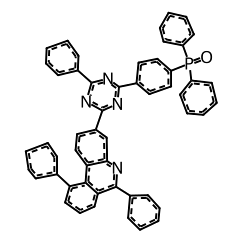 O=P(c1ccccc1)(c1ccccc1)c1ccc(-c2nc(-c3ccccc3)nc(-c3ccc4c(c3)nc(-c3ccccc3)c3cccc(-c5ccccc5)c34)n2)cc1